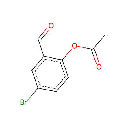 [CH2]C(=O)Oc1ccc(Br)cc1C=O